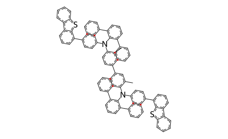 Cc1cc(-c2ccc(N(c3ccc(-c4cccc5c4sc4ccccc45)cc3)c3c(-c4ccccc4)cccc3-c3ccccc3)c(C)c2)ccc1N(c1ccc(-c2cccc3c2sc2ccccc23)cc1)c1c(-c2ccccc2)cccc1-c1ccccc1